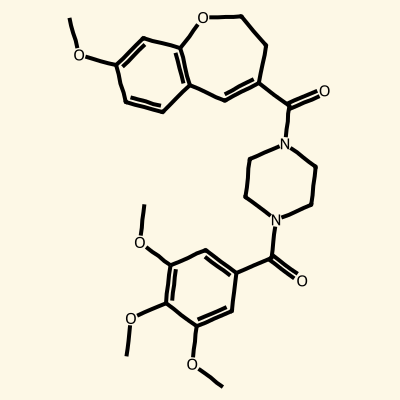 COc1ccc2c(c1)OCCC(C(=O)N1CCN(C(=O)c3cc(OC)c(OC)c(OC)c3)CC1)=C2